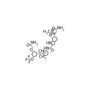 CC(C)(c1cccc(NC(=O)c2cc3ccc(N(CC(N)=O)S(C)(=O)=O)cc3[nH]2)c1)c1cc(OCC(N)=O)cc(OC(F)(F)F)c1